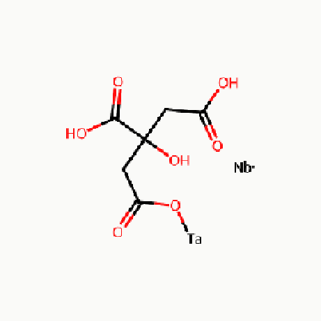 O=C(O)CC(O)(CC(=O)[O][Ta])C(=O)O.[Nb]